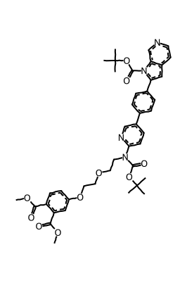 COC(=O)c1ccc(OCCOCCN(C(=O)OC(C)(C)C)c2ccc(-c3ccc(-c4cc5ccncc5n4C(=O)OC(C)(C)C)cc3)cn2)cc1C(=O)OC